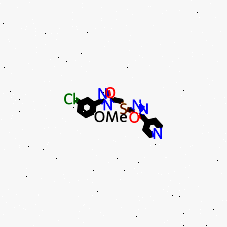 COc1ccc(Cl)cc1-c1noc(CSc2nnc(-c3ccncc3)o2)n1